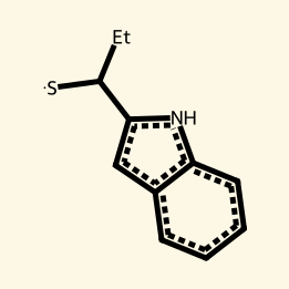 CCC([S])c1cc2ccccc2[nH]1